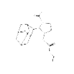 CCOC(=O)NC1CCN(C(=O)O)[C@@H]1C1C2CC3CC(C2)CC1C3